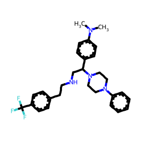 CN(C)c1ccc(C(CNCCc2ccc(C(F)(F)F)cc2)N2CCN(c3ccccc3)CC2)cc1